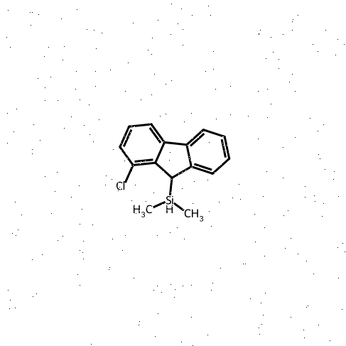 C[SiH](C)C1c2ccccc2-c2cccc(Cl)c21